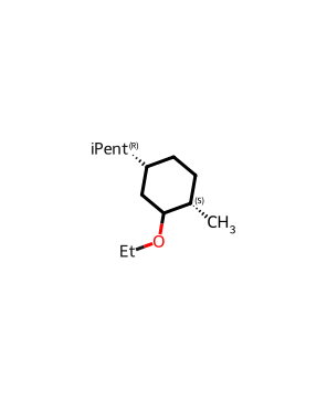 CCC[C@@H](C)C1CC[C@H](C)C(OCC)C1